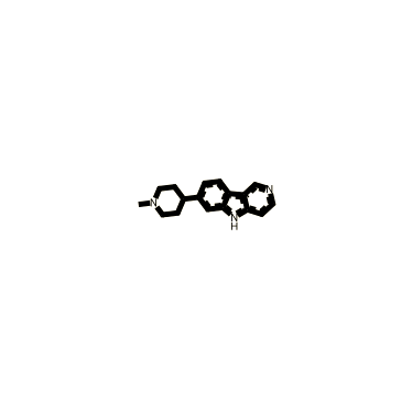 CN1CCC(c2ccc3c(c2)[nH]c2ccncc23)CC1